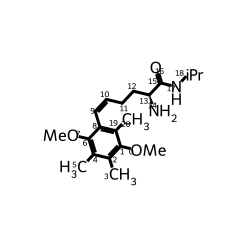 COc1c(C)c(C)c(OC)c(/C=C\CC[C@H](N)C(=O)NC(C)C)c1C